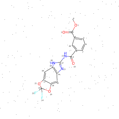 COC(=O)c1cccc(C(=O)Nc2nc3cc4c(cc3[nH]2)OC(F)(F)O4)c1